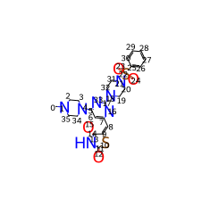 CN1CCN(c2cc(C=C3SC(=O)NC3=O)nc(N3CCN(S(=O)(=O)c4ccccc4)CC3)n2)CC1